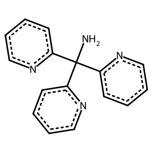 NC(c1ccccn1)(c1ccccn1)c1ccccn1